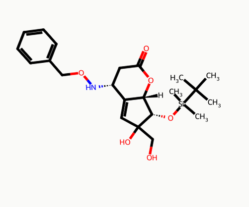 CC(C)(C)[Si](C)(C)O[C@H]1[C@H]2OC(=O)C[C@@H](NOCc3ccccc3)C2=CC1(O)CO